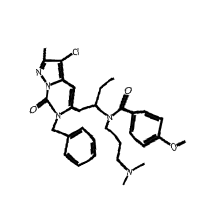 CCC(Cc1cc2c(Cl)c(C)nn2c(=O)n1Cc1ccccc1)N(CCCN(C)C)C(=O)c1ccc(OC)cc1